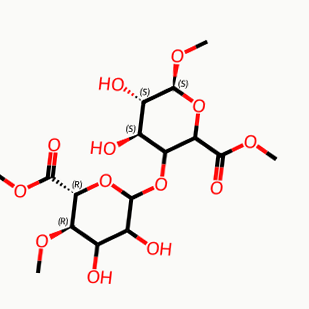 COC(=O)C1O[C@H](OC)[C@@H](O)[C@H](O)C1OC1O[C@@H](C(=O)OC)[C@H](OC)C(O)C1O